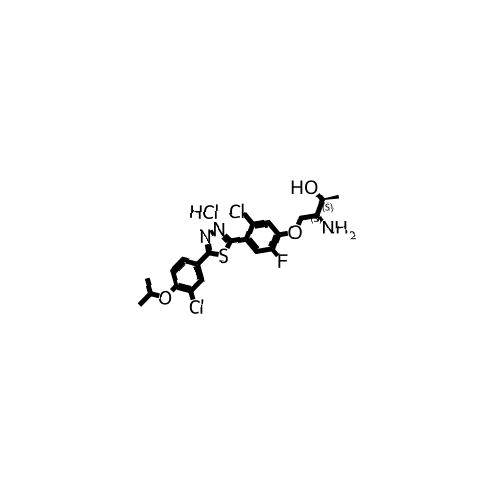 CC(C)Oc1ccc(-c2nnc(-c3cc(F)c(OC[C@H](N)[C@H](C)O)cc3Cl)s2)cc1Cl.Cl